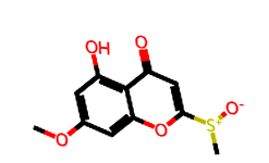 COc1cc(O)c2c(=O)cc([S+](C)[O-])oc2c1